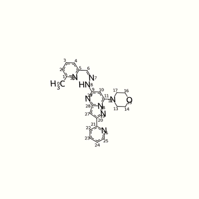 Cc1cccc(/C=N\Nc2cc(N3CCOCC3)n3nc(-c4ccccn4)cc3n2)n1